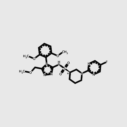 COCc1nnc(NS(=O)(=O)[C@@H]2CCCN(c3ncc(F)cn3)C2)n1-c1c(OC)cccc1OC